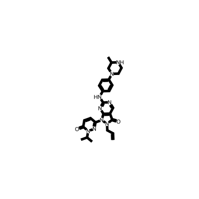 C=CCn1c(=O)c2cnc(Nc3ccc(N4CCNC(C)C4)cc3)nc2n1-c1ccc(=O)n(C(C)C)n1